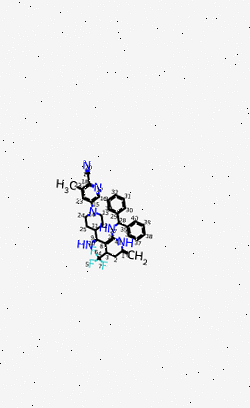 C=C1CC(C(F)(F)F)C(C(=N)C2CCN(c3cnc(C#N)c(C)c3)CC2)=C(NC(c2ccccc2)c2ccccc2)N1